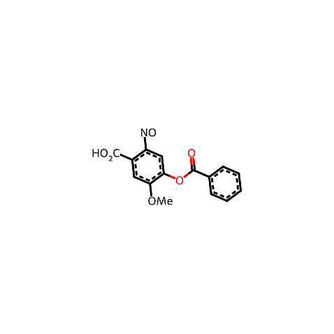 COc1cc(C(=O)O)c(N=O)cc1OC(=O)c1ccccc1